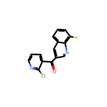 O=C(c1cnc2c(F)cccc2c1)c1cccnc1Cl